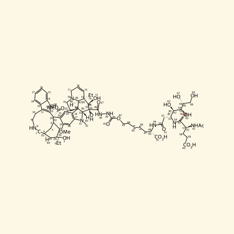 CC[C@@]1(O)CC2C[C@H](CNCCc3c([nH]c4ccccc34)[C@@]2(C(=O)OC)c2cc3c(cc2OC)N(C)[C@H]2[C@@](O)(C(=O)NNC(=O)OCCSSC[C@H](NC(=O)C[C@@H](NC(=O)[C@H](CCC(=O)O)NC(C)=O)[C@@H](O)[C@H](O)[C@H](O)CO)C(=O)O)[C@H](O)[C@]4(CC)C=CCN5CC[C@]32[C@@H]54)C1